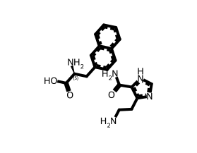 NCCc1nc[nH]c1C(N)=O.N[C@@H](Cc1ccc2ccccc2c1)C(=O)O